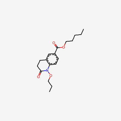 CCCCCOC(=O)c1ccc2c(c1)CCC(=O)N2OCCC